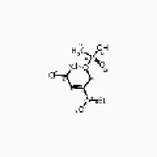 CC[S+]([O-])C(=CC(Cl)Cl)COP(C)(=O)O